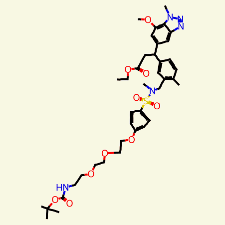 CCOC(=O)CC(c1ccc(C)c(CN(C)S(=O)(=O)c2ccc(OCCOCCOCCNC(=O)OC(C)(C)C)cc2)c1)c1cc(OC)c2c(c1)nnn2C